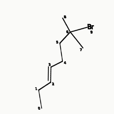 CCC=CCCC(C)(C)Br